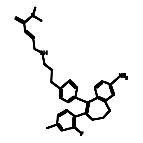 C=C(/C=C/CNCCCc1ccc(C2=C(c3ccc(C)cc3F)CCCc3cc(N)ccc32)cc1)N(C)C